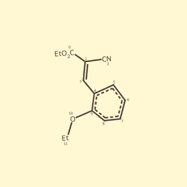 CCOC(=O)/C(C#N)=C/c1ccccc1OCC